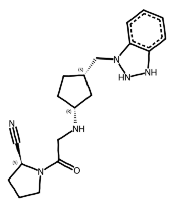 N#C[C@@H]1CCCN1C(=O)CN[C@@H]1CC[C@H](CN2NNc3ccccc32)C1